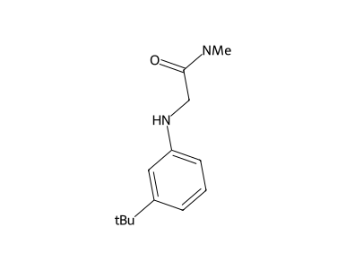 CNC(=O)CNc1cccc(C(C)(C)C)c1